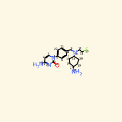 Nc1ccn(-c2ccc(CN(CCF)C3CCC(N)CC3)cc2)c(=O)n1